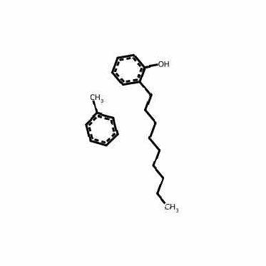 CCCCCCCCCc1ccccc1O.Cc1ccccc1